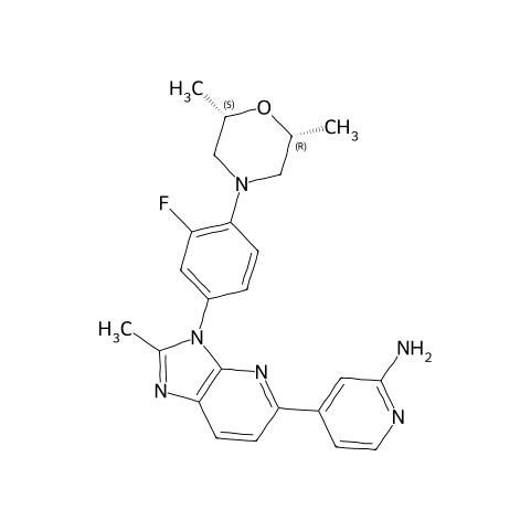 Cc1nc2ccc(-c3ccnc(N)c3)nc2n1-c1ccc(N2C[C@@H](C)O[C@@H](C)C2)c(F)c1